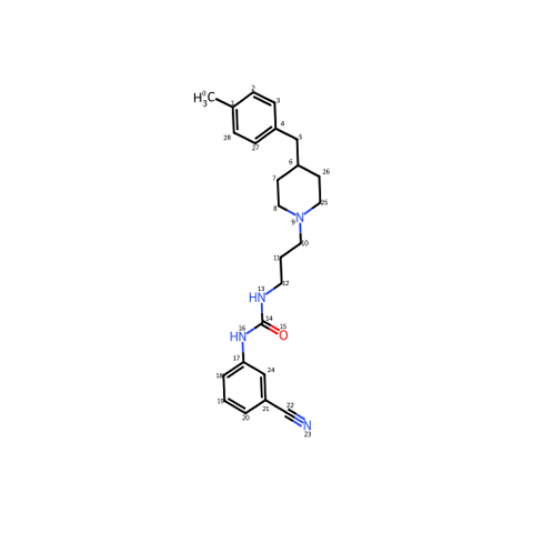 Cc1ccc(CC2CCN(CCCNC(=O)Nc3cccc(C#N)c3)CC2)cc1